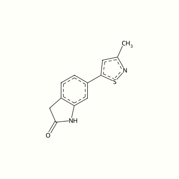 Cc1cc(-c2ccc3c(c2)NC(=O)C3)sn1